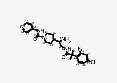 CC(C)(C(=O)NCC(N)C1CCN(C(=O)Nc2ccncc2)CC1)c1ccc(Cl)cc1F